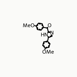 COc1ccc(C(=O)c2ncc(-c3ccc(OC)cc3)[nH]2)cc1